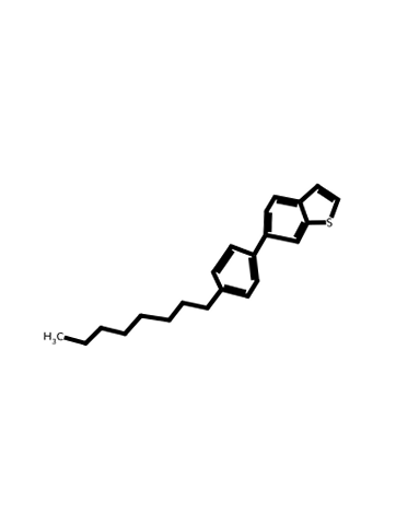 CCCCCCCCc1ccc(-c2ccc3ccsc3c2)cc1